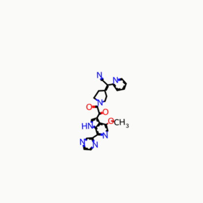 COc1cnc(-c2cnccn2)c2[nH]cc(C(=O)C(=O)N3CCC(=C(C#N)c4ccccn4)CC3)c12